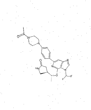 CC(=O)N1CCN(c2ccc(-c3cc4ncn(C(F)F)c4c(O[C@H](C)[C@H]4CNC(=O)C4)n3)cc2)CC1